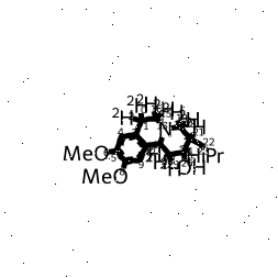 [2H]C1([2H])c2cc(OC)c(OC)cc2C2([2H])N(C1([2H])[2H])C([2H])([2H])C([2H])(CC(C)C)C([2H])(O)C2([2H])[2H]